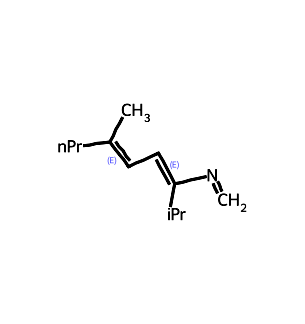 C=N/C(=C/C=C(\C)CCC)C(C)C